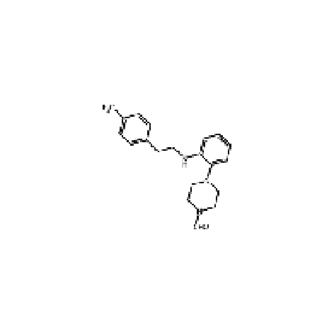 O=CN1CCN(c2ccccc2NCCc2ccc(C(F)(F)F)cc2)CC1